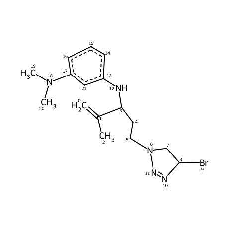 C=C(C)C(CCN1CC(Br)N=N1)Nc1cccc(N(C)C)c1